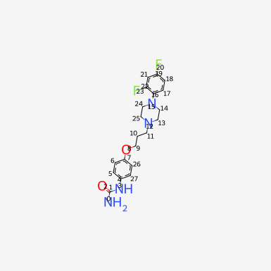 NC(=O)Nc1ccc(OCCCN2CCN(c3ccc(F)cc3F)CC2)cc1